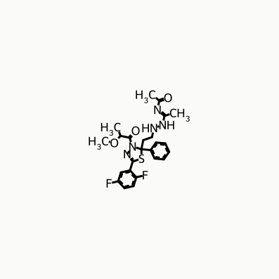 COC(C)C(=O)N1N=C(c2cc(F)ccc2F)SC1(CCNNC(C)=NC(C)=O)c1ccccc1